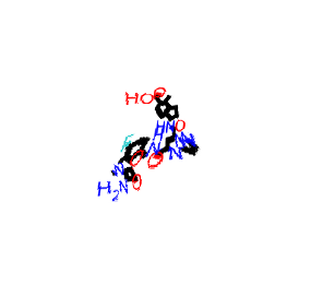 Cc1c(C(=O)O)ccc2c1CC[C@@H]2NC(=O)c1cc(C(=O)NCc2ccc(F)c(CN(C)c3c(N)c(=O)c3=O)c2)nc2ccnn12